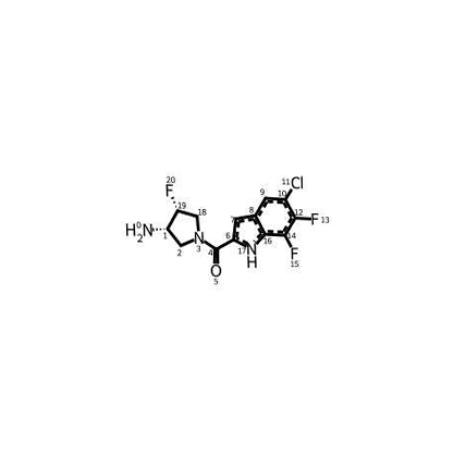 N[C@H]1CN(C(=O)c2cc3cc(Cl)c(F)c(F)c3[nH]2)C[C@H]1F